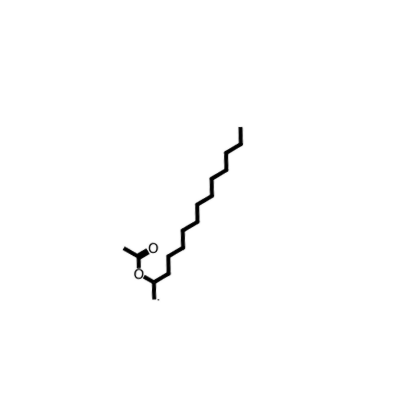 [CH2]C(CCCCCCCCCCCC)OC(C)=O